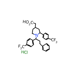 Cl.O=C(O)CC1CCN(C(CCc2ccccc2)c2ccc(C(F)(F)F)cc2)C(c2ccc(C(F)(F)F)cc2)C1